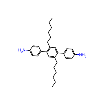 CCCCCCc1cc(-c2ccc(N)cc2)c(CCCCCC)cc1-c1ccc(N)cc1